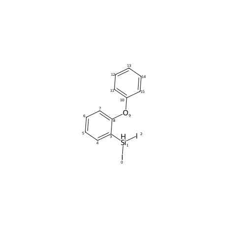 I[SiH](I)c1ccccc1Oc1ccccc1